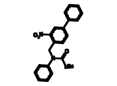 CCCCC(=O)N(Cc1ccc(-c2ccccc2)cc1[N+](=O)[O-])c1ccccc1